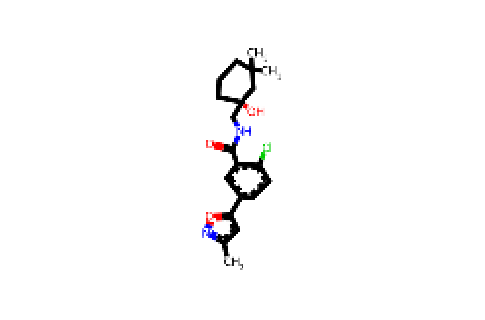 Cc1cc(-c2ccc(Cl)c(C(=O)NCC3(O)CCCC(C)(C)C3)c2)on1